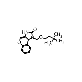 C[Si](C)(C)CCOCN1C(=O)NC2=COc3ccccc3C21